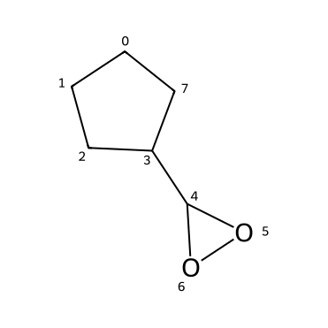 C1CCC(C2OO2)C1